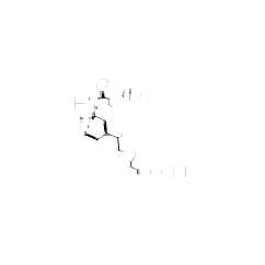 CCOC(=O)COCCc1ccnc(NC(=O)OC(C)(C)C)c1